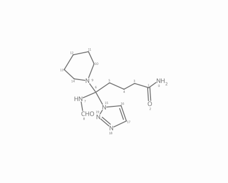 NC(=O)CCCC(NC=O)(N1CCCCC1)n1ccnn1